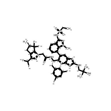 CCS(=O)(=O)Nc1nn(C)c2c(-c3cc4sc(NCC(C)(C)O)nc4nc3[C@H](Cc3cc(F)cc(F)c3)NC(=O)Cn3nc(C(F)F)c4c3C(F)(F)[C@H](C)C4)cccc12